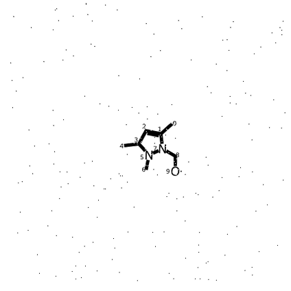 CC1=CC(C)N(C)N1C[O]